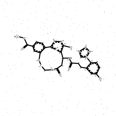 COC(=O)c1ccc2c(c1)OCCNC(=O)CC(NC(=O)CCc1cc(Cl)ccc1-n1cnnn1)c1cc-2nnc1Cl